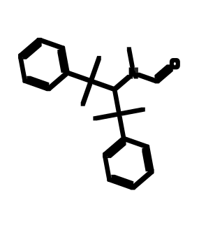 CN(C=O)C(C(C)(C)c1ccccc1)C(C)(C)c1ccccc1